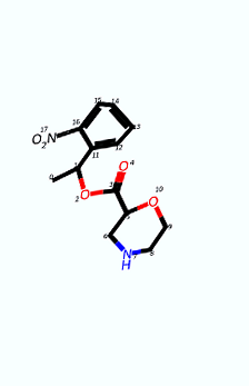 CC(OC(=O)C1CNCCO1)c1ccccc1[N+](=O)[O-]